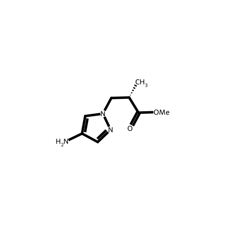 COC(=O)[C@@H](C)Cn1cc(N)cn1